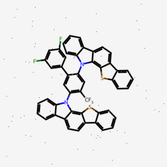 Fc1cc(F)cc(-c2cc(-n3c4ccccc4c4ccc5c6ccccc6sc5c43)c(C(F)(F)F)cc2-n2c3ccccc3c3ccc4c5ccccc5sc4c32)c1